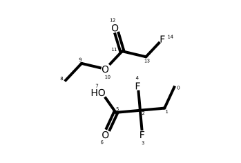 CCC(F)(F)C(=O)O.CCOC(=O)CF